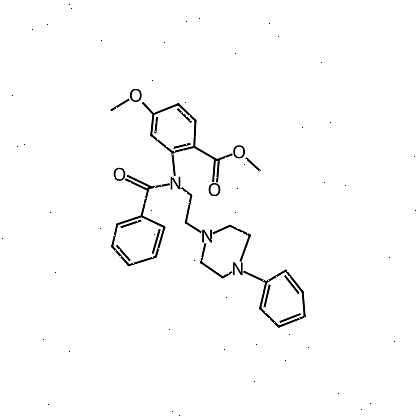 COC(=O)c1ccc(OC)cc1N(CCN1CCN(c2ccccc2)CC1)C(=O)c1ccccc1